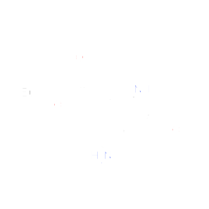 CCOC(=O)C1NC(=O)C1N